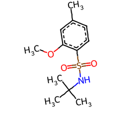 COc1cc(C)ccc1S(=O)(=O)NC(C)(C)C